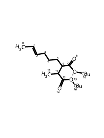 CC=CCCCC(C(=O)OC(C)(C)C)C(C)C(=O)OC(C)(C)C